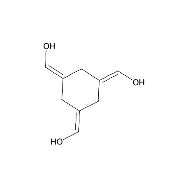 OC=C1CC(=CO)CC(=CO)C1